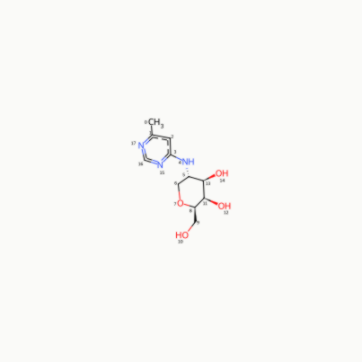 Cc1cc(N[C@H]2CO[C@H](CO)[C@H](O)[C@@H]2O)ncn1